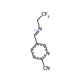 N#Cc1ccc(/C=N/CC(F)(F)F)cn1